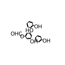 O=COc1cc(O)cc(O)c1.Oc1ccccc1.Oc1ccccc1